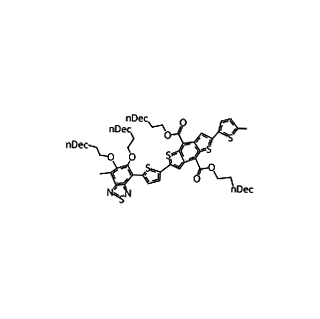 CCCCCCCCCCCCOC(=O)c1c2cc(-c3ccc(-c4c(OCCCCCCCCCCCC)c(OCCCCCCCCCCCC)c(C)c5nsnc45)s3)sc2c(C(=O)OCCCCCCCCCCCC)c2cc(-c3ccc(C)s3)sc12